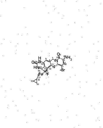 Nc1nc(Br)cn(Cc2cc3c(cc2F)[C@@](C#CC2CC2)(C(F)(F)F)NC(=O)N3)c1=O